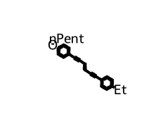 CCCCCOc1ccc(C#C/C=C/C#Cc2ccc(CC)cc2)cc1